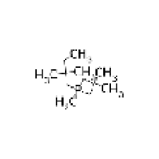 C=P1(CC(C)(C)CC)CC(C)(C)C1